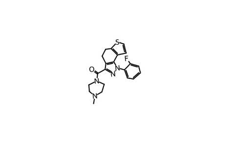 CN1CCN(C(=O)c2nn(-c3ccccc3F)c3c2CCc2sccc2-3)CC1